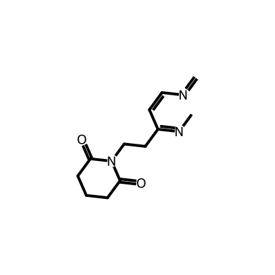 C=N/C=C\C(CCN1C(=O)CCCC1=O)=N/C